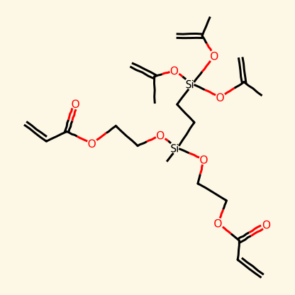 C=CC(=O)OCCO[Si](C)(CC[Si](OC(=C)C)(OC(=C)C)OC(=C)C)OCCOC(=O)C=C